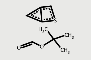 CC(C)(C)OC=O.c1sc2cc1-2